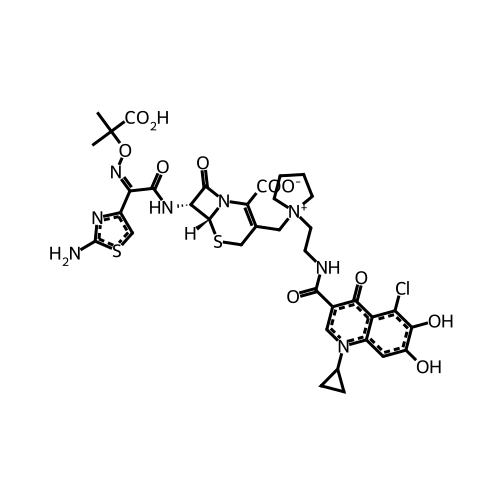 CC(C)(O/N=C(\C(=O)N[C@@H]1C(=O)N2C(C(=O)[O-])=C(C[N+]3(CCNC(=O)c4cn(C5CC5)c5cc(O)c(O)c(Cl)c5c4=O)CCCC3)CS[C@H]12)c1csc(N)n1)C(=O)O